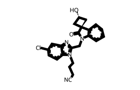 N#CCCCn1c(CN2c3ccccc3[C@]3(C[C@@H](O)C3)C2=O)nc2cc(Cl)ccc21